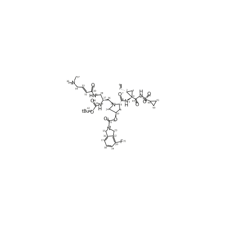 C=C[C@@H]1C[C@]1(NC(=O)[C@@H]1C[C@@H](OC(=O)N2Cc3cccc(F)c3C2)CN1C[C@H](CNC(=O)/C=C/CN(C)C)NC(=O)OC(C)(C)C)C(=O)NS(=O)(=O)C1CC1